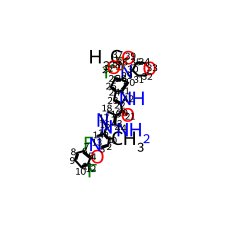 Cc1cc(Oc2c(F)cccc2F)ncc1-n1ncc(C(=O)c2cc3cc(F)c(N(C4CCOCC4)S(C)(=O)=O)cc3[nH]2)c1N